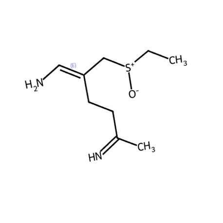 CC[S+]([O-])C/C(=C/N)CCC(C)=N